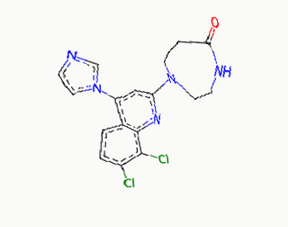 O=C1CCN(c2cc(-n3ccnc3)c3ccc(Cl)c(Cl)c3n2)CCN1